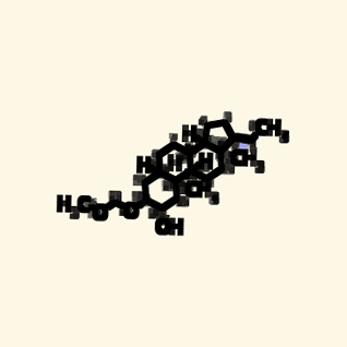 C/C=C1\CC[C@H]2[C@@H]3CC[C@H]4C[C@H](OCOC)[C@@H](O)C[C@]4(C)[C@H]3CC[C@]12C